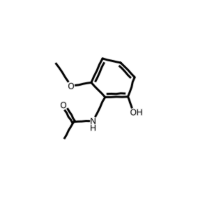 COc1cccc(O)c1NC(C)=O